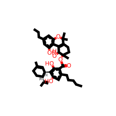 C=C(C)[C@@H]1CCC(C)=C[C@H]1c1c(O)cc(CCCCC)c(C(=O)OC2(C)CCC3=C(c4c(O)cc(CCC)cc4OC3(C)C)C2O)c1O